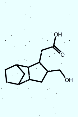 O=C(O)CC1C(CO)CC2C3CCC(C3)C12